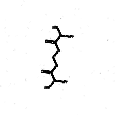 CCCN(CCC)C(=O)SCSC(=O)N(CCC)CCC